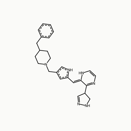 C1=CNC(=Cc2cc(CN3CCC(Cc4ccccc4)CC3)c[nH]2)C(C2C=NNC2)=N1